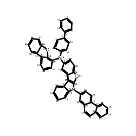 c1ccc(-c2ccc(N(c3ccc4oc5c(c4c3)c3ccccc3n5-c3ccc4c(ccc5ccccc54)c3)c3cccc4c3oc3ccccc34)cc2)cc1